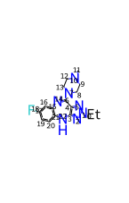 CCn1nc2c(n1)C(N1CCN(C)CC1)=Nc1cc(F)ccc1N2